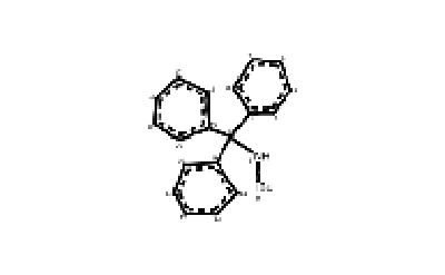 CCC(C)NC(c1ccccc1)(c1ccccc1)c1ccccc1